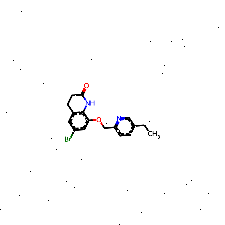 CCc1ccc(COc2cc(Br)cc3c2NC(=O)CC3)nc1